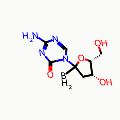 BC1(n2cnc(N)nc2=O)C[C@@H](O)[C@@H](CO)O1